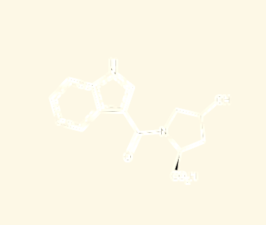 O=C(O)[C@@H]1CC(O)CN1C(=O)c1c[nH]c2ccccc12